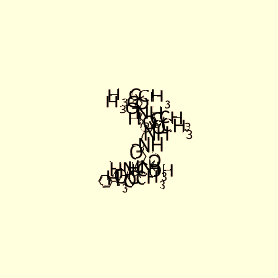 CC(C)(C)OC(=O)NCCC[C@@H](CNC(=O)CC(CC(NC(=O)OCc1ccccc1)C(C)(C)C)NC(=O)O)NC(=O)OC(C)(C)C